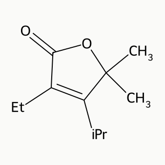 CCC1=C(C(C)C)C(C)(C)OC1=O